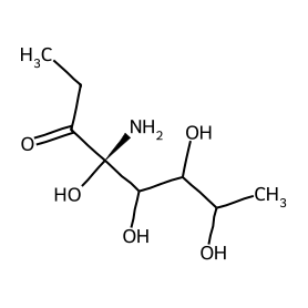 CCC(=O)[C@@](N)(O)C(O)C(O)C(C)O